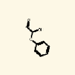 O=[C]C(O)Oc1ccccc1